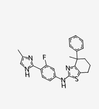 Cc1c[nH]c(-c2ccc(Nc3nc4c(s3)CCCC4(C)c3ccccc3)cc2F)n1